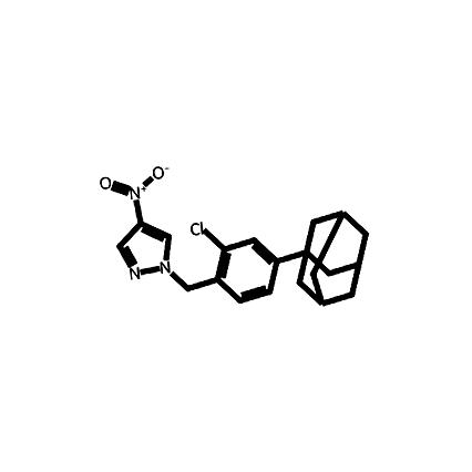 O=[N+]([O-])c1cnn(Cc2ccc(C34CC5CC(CC(C5)C3)C4)cc2Cl)c1